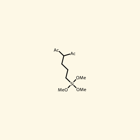 CO[Si](CCCC(C(C)=O)C(C)=O)(OC)OC